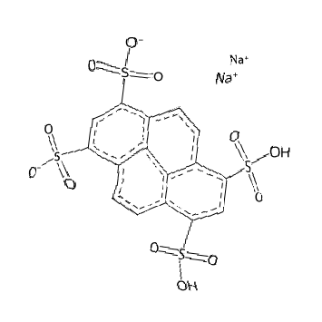 O=S(=O)([O-])c1cc(S(=O)(=O)[O-])c2ccc3c(S(=O)(=O)O)cc(S(=O)(=O)O)c4ccc1c2c43.[Na+].[Na+]